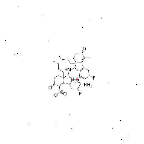 CCCCC12CCC(=O)C([N+](=O)[O-])=C1c1cc(F)ccc1C2NC1c2c(cc(F)c(N)c2N)C2=C(C)C(=O)CCC21CCCC